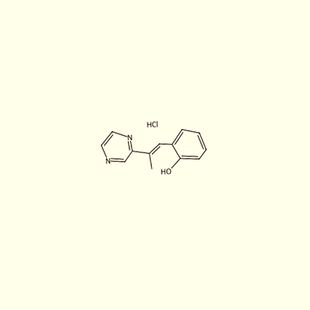 CC(=Cc1ccccc1O)c1cnccn1.Cl